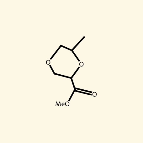 COC(=O)C1COCC(C)O1